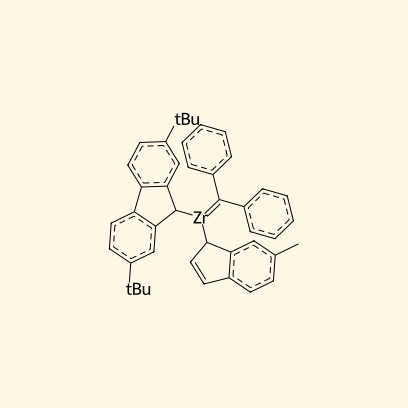 Cc1ccc2c(c1)[CH]([Zr](=[C](c1ccccc1)c1ccccc1)[CH]1c3cc(C(C)(C)C)ccc3-c3ccc(C(C)(C)C)cc31)C=C2